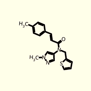 Cc1ccc(/C=C/C(=O)N(Cc2cccs2)c2cnn(C)c2)cc1